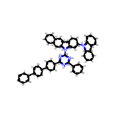 c1ccc(-c2ccc(-c3ccc(-c4nc(-c5ccccc5)nc(-n5c6cc(-n7c8ccccc8c8ccccc87)ccc6c6cc7ccccc7cc65)n4)cc3)cc2)cc1